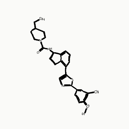 CC(C)Oc1ccc(-c2ncc(-c3cccc4c3CCC4NC(=O)N3CCC(CO)CC3)s2)cc1C#N